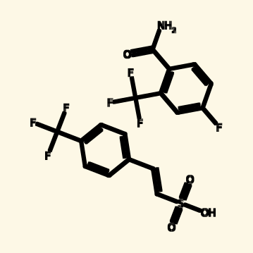 NC(=O)c1ccc(F)cc1C(F)(F)F.O=S(=O)(O)/C=C/c1ccc(C(F)(F)F)cc1